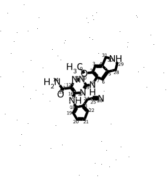 COc1cc2c(cc1Nc1nnc(C(N)=O)c(Nc3ccccc3CC#N)n1)CCNC2